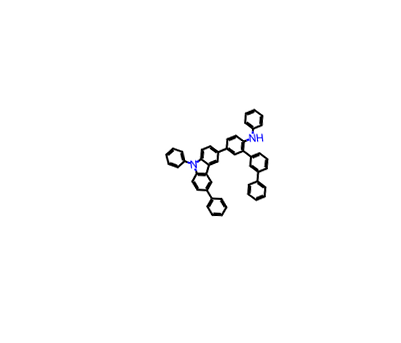 c1ccc(Nc2ccc(-c3ccc4c(c3)c3cc(-c5ccccc5)ccc3n4-c3ccccc3)cc2-c2cccc(-c3ccccc3)c2)cc1